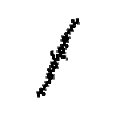 B/C(=N\N=C(/CCCC)c1ccc(OC(=O)c2ccc(OCCCCOC(=O)C=C)cc2)cc1)c1ccc(OC(=O)c2ccc(OCCCCOC(=O)C=C)cc2)cc1